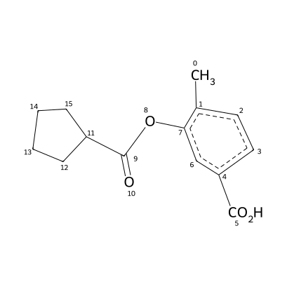 Cc1ccc(C(=O)O)cc1OC(=O)C1CCCC1